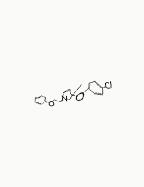 CC1(Oc2ccc(Cl)cc2)CCN(CCOc2ccccc2)C1